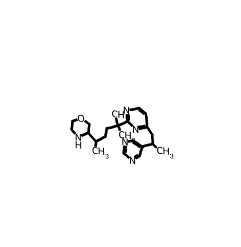 CC(Cc1ccnc(C(C)(C)CCC(C)C2COCCN2)n1)c1cncnc1